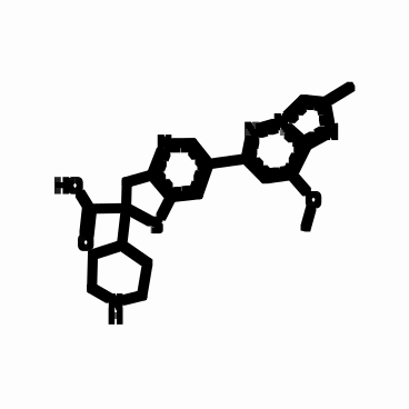 COc1cc(-c2cnc3c(c2)SC(C(=O)O)(C2CCNCC2)C3)nn2cc(C)nc12